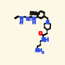 C=CNC/N=C(\NC)Nc1cccc(CN2CCC(CC(=O)NCCCN)CC2)c1